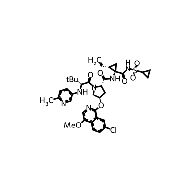 C=C[C@@H]1C[C@]1(NC(=O)[C@@H]1C[C@@H](Oc2ncc(OC)c3ccc(Cl)cc23)CN1C(=O)[C@H](Nc1ccc(C)nc1)C(C)(C)C)C(=O)NS(=O)(=O)C1CC1